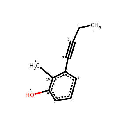 CCC#Cc1cccc(O)c1C